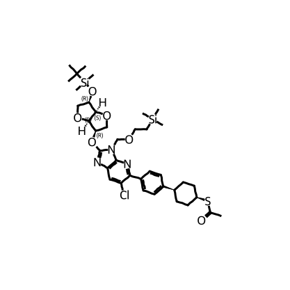 CC(=O)S[C@H]1CC[C@@H](c2ccc(-c3nc4c(cc3Cl)nc(O[C@@H]3CO[C@H]5[C@@H]3OC[C@H]5O[Si](C)(C)C(C)(C)C)n4COCC[Si](C)(C)C)cc2)CC1